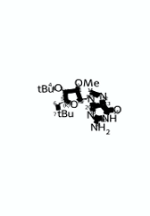 COC1[C@@H](OC(C)(C)C)[C@@H](CC(C)(C)C)O[C@H]1n1cnc2c(=O)[nH]c(N)nc21